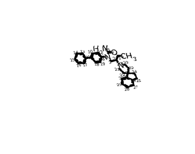 CCC(CN(C(N)=O)c1ccc(-c2ccccc2)cc1)N1CCC2(CCc3ccccc32)CC1